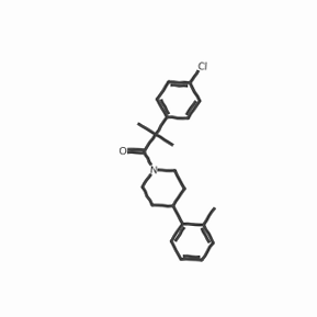 Cc1ccccc1C1CCN(C(=O)C(C)(C)c2ccc(Cl)cc2)CC1